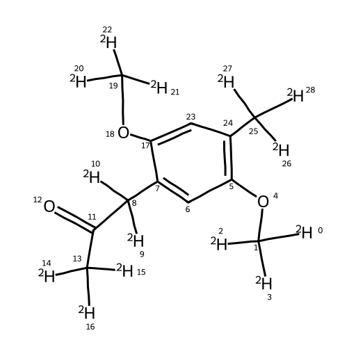 [2H]C([2H])([2H])Oc1cc(C([2H])([2H])C(=O)C([2H])([2H])[2H])c(OC([2H])([2H])[2H])cc1C([2H])([2H])[2H]